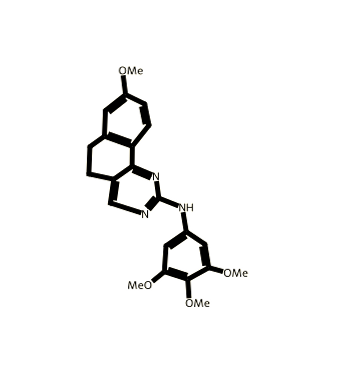 COc1ccc2c(c1)CCc1cnc(Nc3cc(OC)c(OC)c(OC)c3)nc1-2